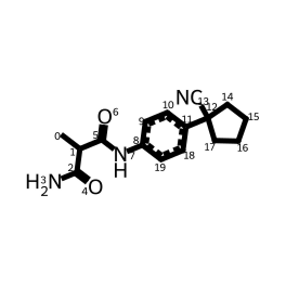 CC(C(N)=O)C(=O)Nc1ccc(C2(C#N)CCCC2)cc1